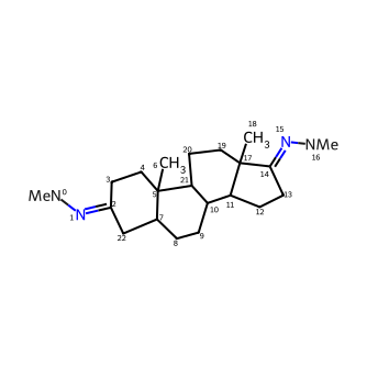 CN/N=C1\CCC2(C)C(CCC3C4CC/C(=N\NC)C4(C)CCC32)C1